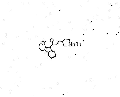 CCCCN1CCC(CCC(=O)c2c3n(c4ccccc24)CCCO3)CC1